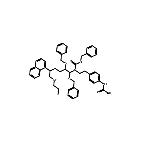 CCCNCC(CCC(OCc1ccccc1)C(OCc1ccccc1)N(CCc1ccc(NC(N)=O)cc1)C(=O)OCc1ccccc1)c1cccc2ccccc12